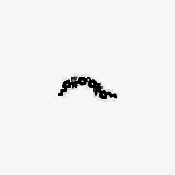 CCCCc1cccc(C(F)(F)C(F)(F)c2ccc(Oc3ccc(C(F)(F)C(F)(F)c4cccc(CCCC)c4)cc3)cc2)c1